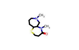 CN1CCCC2SCCC(=O)N(C)C2C1